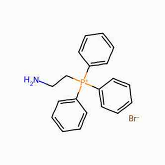 NCC[P+](c1ccccc1)(c1ccccc1)c1ccccc1.[Br-]